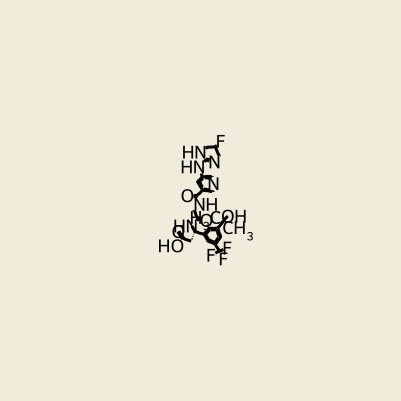 CC(C)(O)c1cc([C@H](CC(=O)O)NC(=O)CNC(=O)c2cncc(NC3=NCC(F)CN3)c2)cc(C(F)(F)F)c1